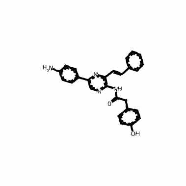 Nc1ccc(-c2cnc(NC(=O)Cc3ccc(O)cc3)c(/C=C/c3ccccc3)n2)cc1